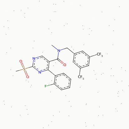 CN(Cc1cc(C(F)(F)F)cc(C(F)(F)F)c1)C(=O)c1cnc(S(C)(=O)=O)nc1-c1ccccc1F